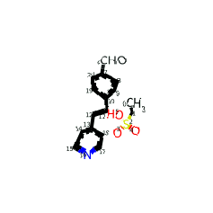 CCS(=O)(=O)O.O=Cc1ccc(C=Cc2ccncc2)cc1